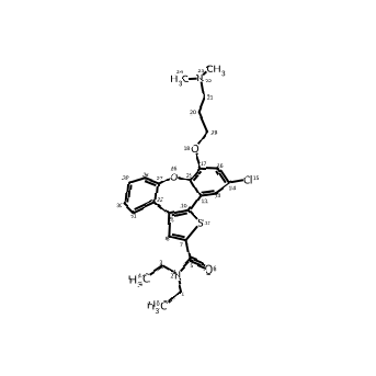 CCN(CC)C(=O)c1cc2c(s1)-c1cc(Cl)cc(OCCCN(C)C)c1Oc1ccccc1-2